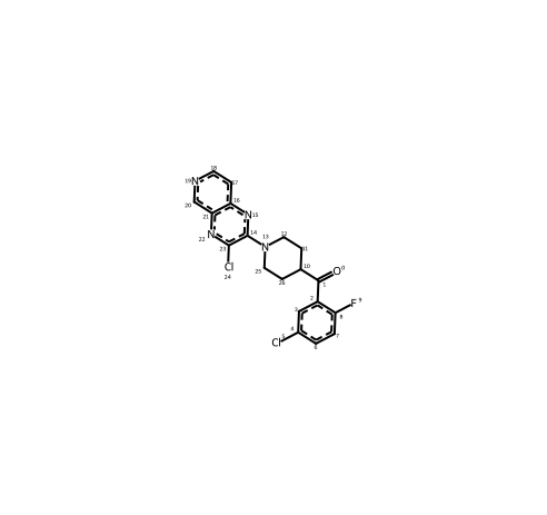 O=C(c1cc(Cl)ccc1F)C1CCN(c2nc3ccncc3nc2Cl)CC1